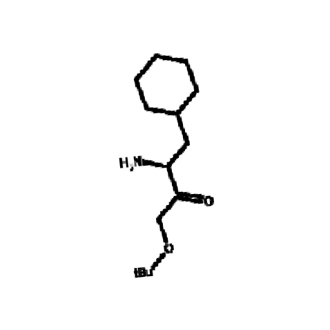 CC(C)(C)OCC(=O)[C@@H](N)CC1CCCCC1